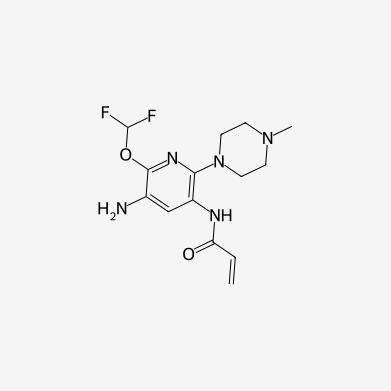 C=CC(=O)Nc1cc(N)c(OC(F)F)nc1N1CCN(C)CC1